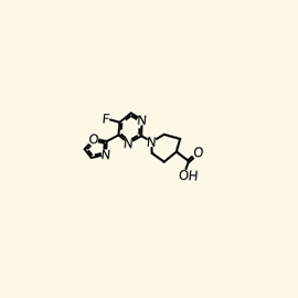 O=C(O)C1CCN(c2ncc(F)c(-c3ncco3)n2)CC1